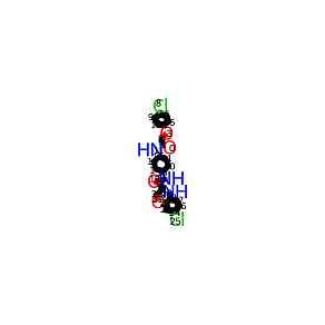 O=C(COc1ccc(Cl)cc1)N[C@H]1CC[C@H](NC(=O)C2COc3cc(Cl)ccc3N2)CC1